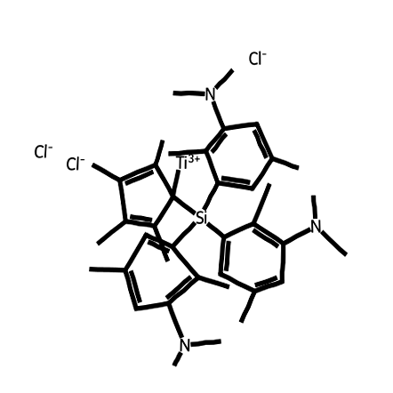 CC1=C(C)[C]([Ti+3])([Si](c2cc(C)cc(N(C)C)c2C)(c2cc(C)cc(N(C)C)c2C)c2cc(C)cc(N(C)C)c2C)C(C)=C1C.[Cl-].[Cl-].[Cl-]